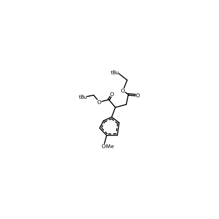 COc1ccc(C(CC(=O)OCC(C)(C)C)C(=O)OCC(C)(C)C)cc1